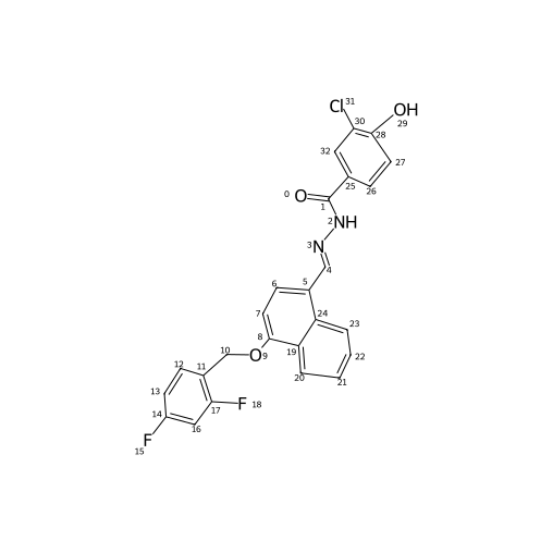 O=C(N/N=C/c1ccc(OCc2ccc(F)cc2F)c2ccccc12)c1ccc(O)c(Cl)c1